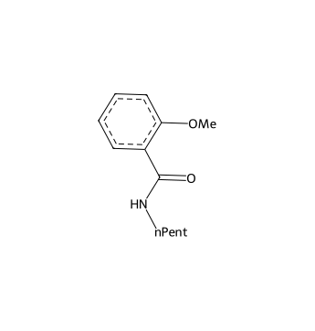 [CH2]CCCCNC(=O)c1ccccc1OC